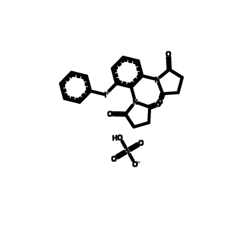 O=C1CCC(=O)N1c1cccc([I+]c2ccccc2)c1N1C(=O)CCC1=O.O=S(=O)([O-])O